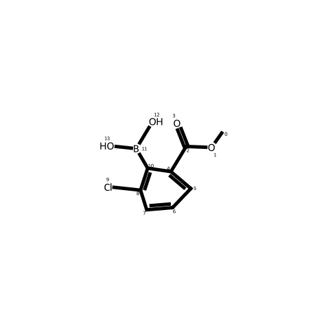 COC(=O)c1cccc(Cl)c1B(O)O